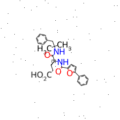 CC(C)(Cc1ccccc1)NC(=O)[C@H](CCC(=O)O)NC(=O)c1ccc(-c2ccccc2)o1